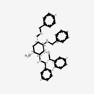 N[C@@H]1C[C@H](COCc2ccccc2)[C@@H](OCc2ccccc2)[C@H](OCc2ccccc2)[C@H]1OCc1ccccc1